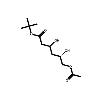 CC(=O)OC[C@@H](O)CC(O)CC(=O)OC(C)(C)C